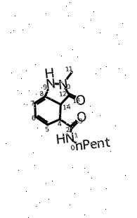 CCCCCNC(=O)C1C=CC=C2NN(C)C(=O)C21